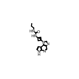 CCCNC(=O)NC12CC(n3cnc4cnc5[nH]ccc5c43)(C1)C2